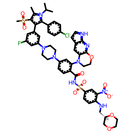 Cc1c(S(C)(=O)=O)c(-c2cc(F)cc(N3CCN(c4ccc(C(=O)NS(=O)(=O)c5ccc(NC[C@H]6COCCO6)c([N+](=O)[O-])c5)c(N5CCOc6nc7[nH]ccc7cc65)c4)CC3)c2)c(-c2ccc(Cl)cc2)n1C(C)C